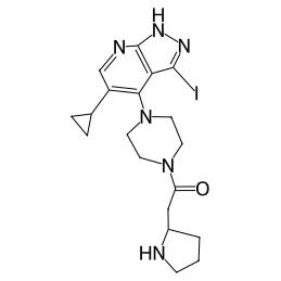 O=C(CC1CCCN1)N1CCN(c2c(C3CC3)cnc3[nH]nc(I)c23)CC1